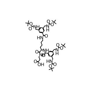 CC(C)(C)OC(=O)NCc1cc(CNC(=O)OC(C)(C)C)cc(C(=O)NCCCCC(NC(=O)c2cc(CNC(=O)OC(C)(C)C)cc(CNC(=O)OC(C)(C)C)c2)C(=O)NCCC(=O)O)c1